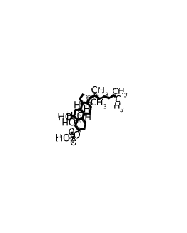 CC(C)CCC[C@@H](C)[C@H]1CC[C@H]2[C@@H]3CC(O)[C@@]4(O)C[C@@H](OS(=O)(=O)O)CC[C@]4(C)[C@H]3CC[C@]12C